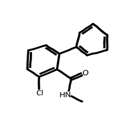 CNC(=O)c1c(Cl)cccc1-c1ccccc1